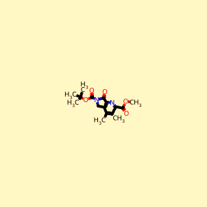 COC(=O)c1nc2c(c(C)c1C)CN(C(=O)OC(C)(C)C)C2=O